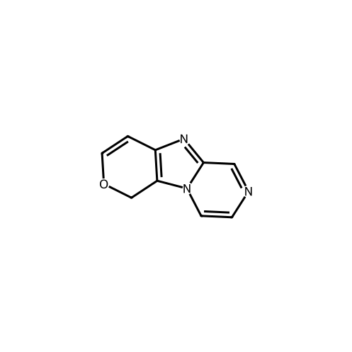 C1=Cc2nc3cnccn3c2CO1